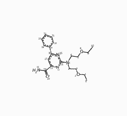 CCOCCN(CCOCC)c1nc(C(N)=O)cc(-c2ccccc2)n1